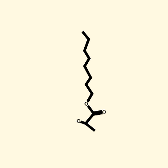 CCCCCCCCOC(=O)C(C)[O]